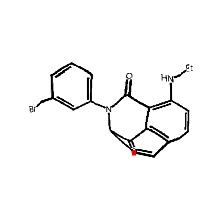 CCNc1ccc2c3c1C(=O)N(c1cccc(Br)c1)C(C=C2)C3=O